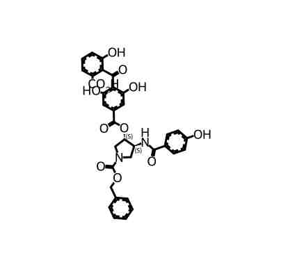 O=C(N[C@H]1CN(C(=O)OCc2ccccc2)C[C@@H]1OC(=O)c1cc(O)c(C(=O)c2c(O)cccc2C(=O)O)c(O)c1)c1ccc(O)cc1